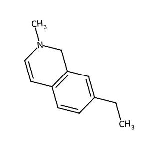 CCc1ccc2c(c1)CN(C)C=C2